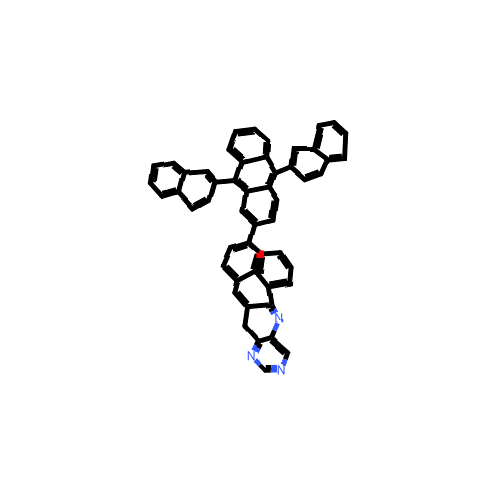 C(=C1\Cc2ncncc2N=C1c1ccccc1)/c1ccc(-c2ccc3c(-c4ccc5ccccc5c4)c4ccccc4c(-c4ccc5ccccc5c4)c3c2)cc1